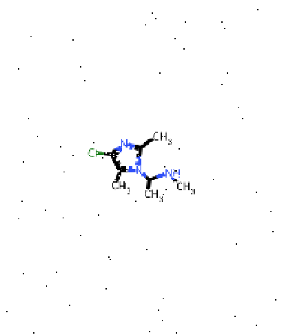 CNC(C)n1c(C)nc(Cl)c1C